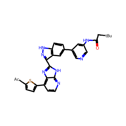 CC(=O)c1ccc(-c2ccnc3[nH]c(-c4n[nH]c5ccc(-c6cncc(NC(=O)CC(C)(C)C)c6)cc45)nc23)s1